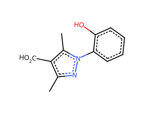 Cc1nn(-c2ccccc2O)c(C)c1C(=O)O